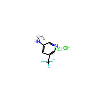 CNc1cncc(C(F)(F)F)c1.Cl.Cl